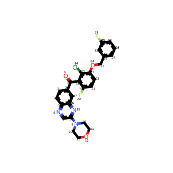 O=C(c1ccc2ncc(N3CCOCC3)nc2c1)c1c(F)ccc(OCc2cccc(F)c2)c1Cl